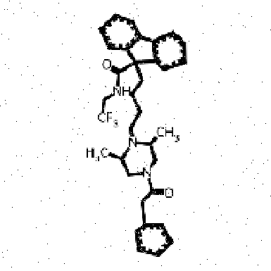 CC1CN(C(=O)Cc2ccccc2)CC(C)N1CCCCC1(C(=O)NCC(F)(F)F)c2ccccc2-c2ccccc21